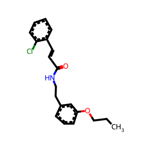 CCCOc1cccc(CCNC(=O)/C=C/c2ccccc2Cl)c1